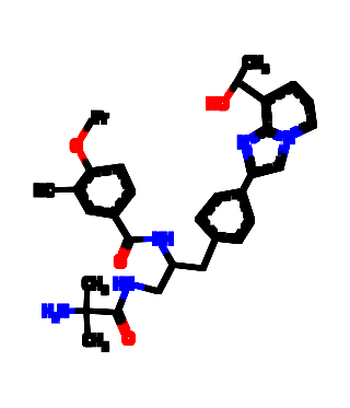 CC(C)Oc1ccc(C(=O)NC(CNC(=O)C(C)(C)N)Cc2ccc(-c3cn4cccc(C(C)O)c4n3)cc2)cc1C#N